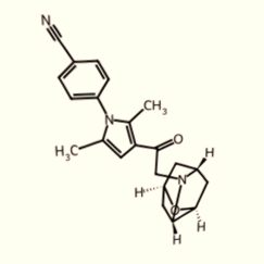 Cc1cc(C(=O)CN2[C@@H]3C[C@@H]4C[C@H]2[C@H](C3)O4)c(C)n1-c1ccc(C#N)cc1